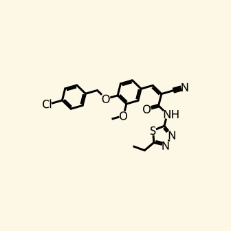 CCc1nnc(NC(=O)C(C#N)=Cc2ccc(OCc3ccc(Cl)cc3)c(OC)c2)s1